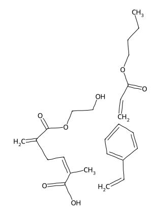 C=C(CC=C(C)C(=O)O)C(=O)OCCO.C=CC(=O)OCCCC.C=Cc1ccccc1